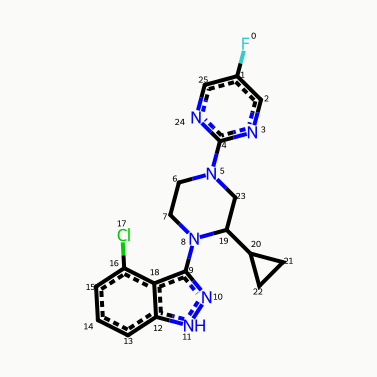 Fc1cnc(N2CCN(c3n[nH]c4cccc(Cl)c34)C(C3CC3)C2)nc1